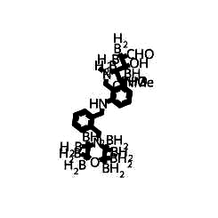 BC(B)(C=O)C(B)(O)C(B)(C(=O)NC)N(C)Cc1c(C=O)cccc1NCc1ccccc1CN1C(B)(B)C(B)(B)OC(B)(B)C1(B)B